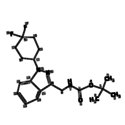 CC(C)(C)OC(=O)NCc1nn(C2CCC(F)(F)CC2)c2ccccc12